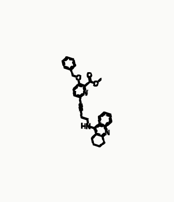 COC(=O)c1nc(C#CCCNc2c3c(nc4ccccc24)CCCC3)ccc1OCc1ccccc1